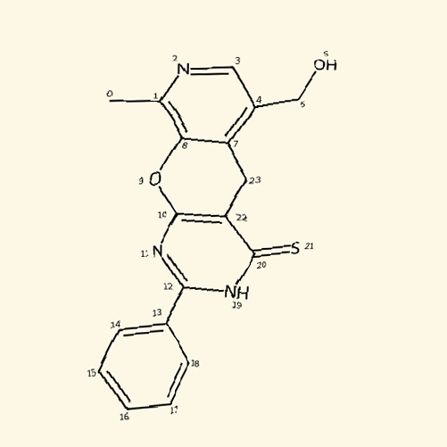 Cc1ncc(CO)c2c1Oc1nc(-c3ccccc3)[nH]c(=S)c1C2